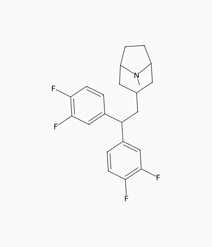 CN1C2CCC1CC(CC(c1ccc(F)c(F)c1)c1ccc(F)c(F)c1)C2